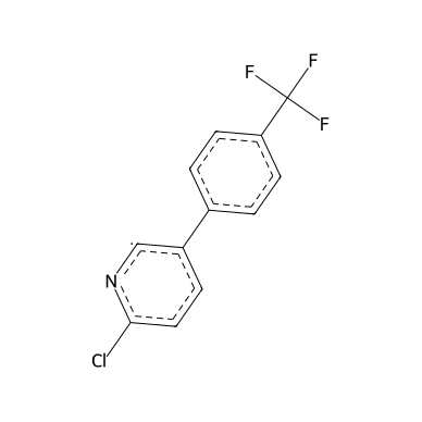 FC(F)(F)c1ccc(-c2[c]nc(Cl)cc2)cc1